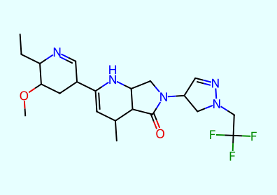 CCC1N=CC(C2=CC(C)C3C(=O)N(C4C=NN(CC(F)(F)F)C4)CC3N2)CC1OC